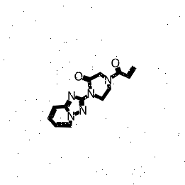 C=CC(=O)N1CCN(c2nc3ccccn3n2)C(=O)C1